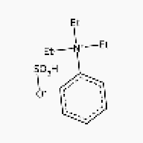 CC[N+](CC)(CC)c1ccccc1.O=S(=O)([O-])O